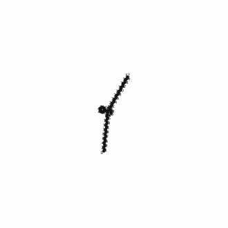 CCCCCCCCCCCCCCCCCN1C=CN(CCCCCCCCCCCCCCCCC)C1c1ccccc1